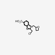 O=C(O)c1ccc2c(c1)nc(CCl)n2CC1CCO1